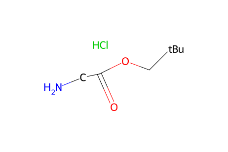 CC(C)(C)COC(=O)CN.Cl